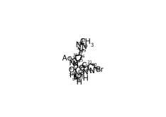 CC(=O)c1nn(CC(=O)N2[C@@H]3C[C@@H]3C[C@H]2C(=O)Nc2nc(Br)ccc2C)c2ccc(-c3cnc(C)nc3)cc12